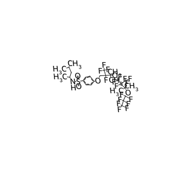 CC(C)CC(C)NS(=O)(=O)c1ccc(OCC(F)(C(F)(F)F)C(C)(C)OC(F)(F)C(F)(C(F)(F)F)C(C)(C)OC(F)(F)C(F)(F)C(F)(F)F)cc1